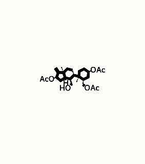 C=C1[C@@H](OC(C)=O)C[C@H]2[C@H](CO)[C@@H]([C@@]3(C)CC[C@H](OC(C)=O)C[C@@H]3COC(C)=O)CC[C@]12C